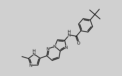 Cc1ncc(-c2ccc3nc(NC(=O)c4ccc(C(C)(C)C)cc4)cn3n2)[nH]1